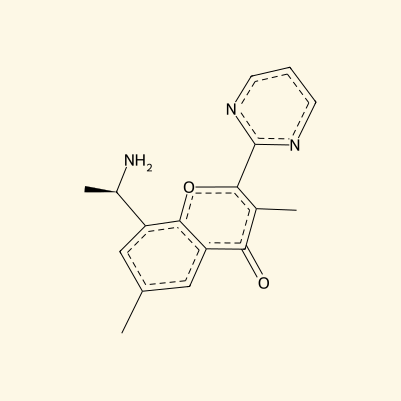 Cc1cc([C@@H](C)N)c2oc(-c3ncccn3)c(C)c(=O)c2c1